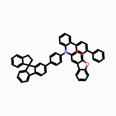 c1ccc(-c2ccc(-c3ccccc3N(c3ccc(-c4ccc5c(c4)C4(CCc6ccccc64)c4ccccc4-5)cc3)c3ccc4oc5ccccc5c4c3)cc2)cc1